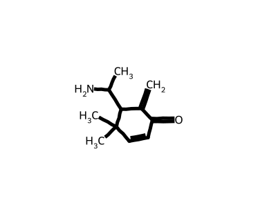 C=C1C(=O)C=CC(C)(C)C1C(C)N